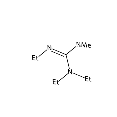 CCN=C(NC)N(CC)CC